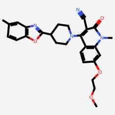 COCCOc1ccc2c(N3CCC(c4nc5cc(C)ccc5o4)CC3)c(C#N)c(=O)n(C)c2c1